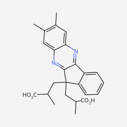 Cc1cc2nc3c(nc2cc1C)C(CC(C)C(=O)O)(CC(C)C(=O)O)c1ccccc1-3